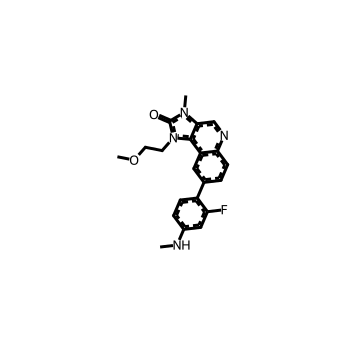 CNc1ccc(-c2ccc3ncc4c(c3c2)n(CCOC)c(=O)n4C)c(F)c1